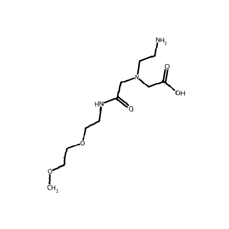 COCCOCCNC(=O)CN(CCN)CC(=O)O